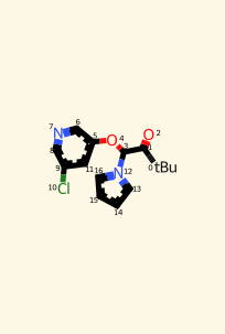 CC(C)(C)C(=O)C(Oc1cncc(Cl)c1)n1cccc1